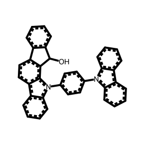 OC1c2ccccc2-c2ccc3c4ccccc4n(-c4ccc(-n5c6ccccc6c6ccccc65)cc4)c3c21